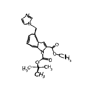 COC(=O)c1cc2c(Cn3ccnc3)cccc2n1C(=O)OC(C)(C)C